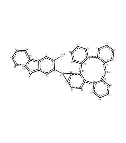 Clc1cc2c(cc1N1c3ccc4c5ccccc5oc5ccccc5c5ccccc5c4c31)oc1ccccc12